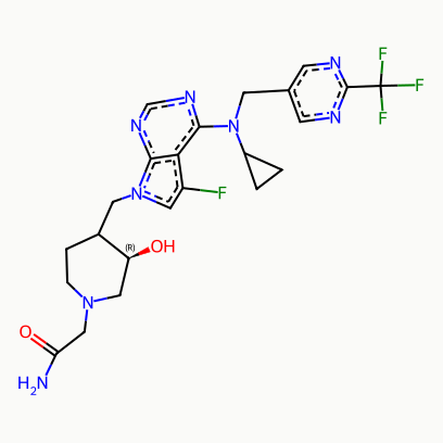 NC(=O)CN1CCC(Cn2cc(F)c3c(N(Cc4cnc(C(F)(F)F)nc4)C4CC4)ncnc32)[C@@H](O)C1